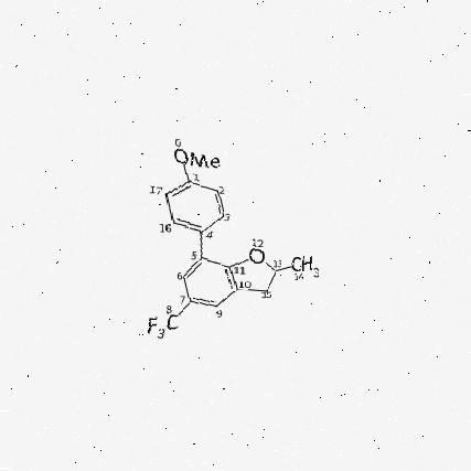 COc1ccc(-c2cc(C(F)(F)F)cc3c2OC(C)C3)cc1